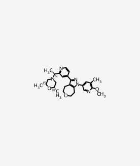 COc1ncc(-n2nc(-c3ccnc([C@H](C)N4C[C@@H](C)O[C@@H](C)C4)c3)c3c2CCOCC3)cc1C